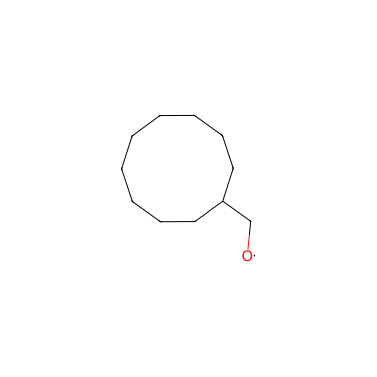 [O]CC1CCCCCCCCC1